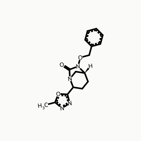 Cc1nnc(C2CC[C@@H]3CN2C(=O)N3OCc2ccccc2)o1